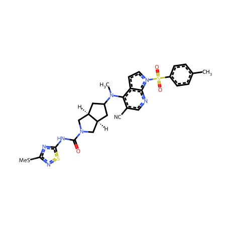 CSc1nsc(NC(=O)N2C[C@H]3CC(N(C)c4c(C#N)cnc5c4ccn5S(=O)(=O)c4ccc(C)cc4)C[C@H]3C2)n1